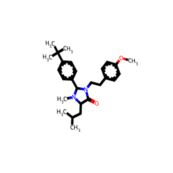 COc1ccc(CCN2C(=O)C(CC(C)C)N(C)C2c2ccc(C(C)(C)C)cc2)cc1